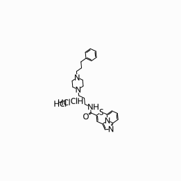 Cl.Cl.Cl.O=C(NCCCN1CCN(CCCc2ccccc2)CC1)C1=Cc2cnc3cccc(n23)S1